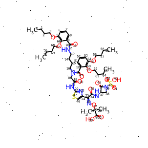 CCCCOc1cccc(C(=O)NCCCCN(CC(=O)Nc2nc(/C(=N/OC(C)(C)C(=O)O)C(=O)N[C@H]3CN(S(=O)(=O)O)C3=O)cs2)C(=O)c2cccc(OCCCC)c2OCCCC)c1OCCCC